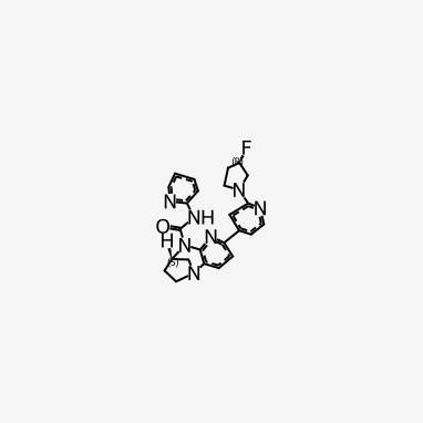 O=C(Nc1ccccn1)N1c2nc(-c3ccnc(N4CC[C@@H](F)C4)c3)ccc2N2CC[C@H]1C2